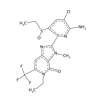 CCn1c(C(F)(F)F)cc2nc(-c3nc(N)c(Cl)cc3[S+]([O-])CC)n(C)c2c1=O